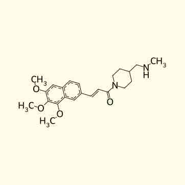 CNCC1CCN(C(=O)/C=C/c2ccc3cc(OC)c(OC)c(OC)c3c2)CC1